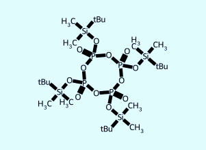 CC(C)(C)[Si](C)(C)OP1(=O)OP(=O)(O[Si](C)(C)C(C)(C)C)OP(=O)(O[Si](C)(C)C(C)(C)C)OP(=O)(O[Si](C)(C)C(C)(C)C)O1